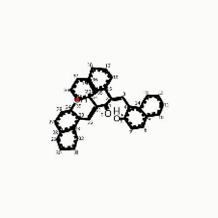 O=C(C(=Cc1c(O)ccc2ccccc12)c1ccccc1)C(=Cc1c(O)ccc2ccccc12)c1ccccc1